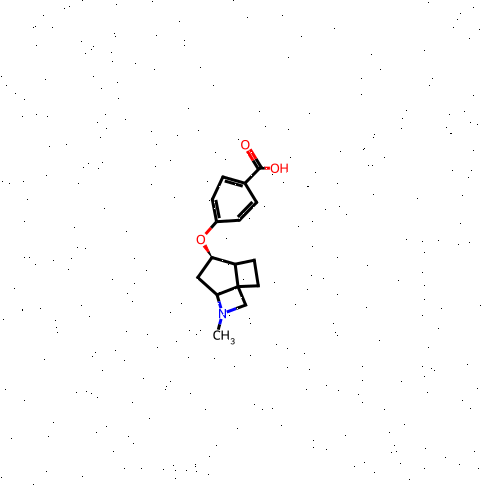 CN1CC23CCC2[C@H](Oc2ccc(C(=O)O)cc2)CC13